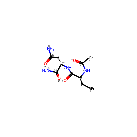 CC(C)C[C@H](NC(=O)C(C)C)C(=O)N[C@@H](CC(N)=O)C(N)=O